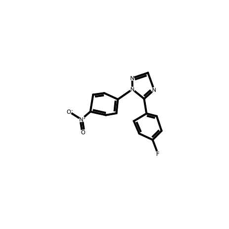 O=[N+]([O-])c1ccc(-n2ncnc2-c2ccc(F)cc2)cc1